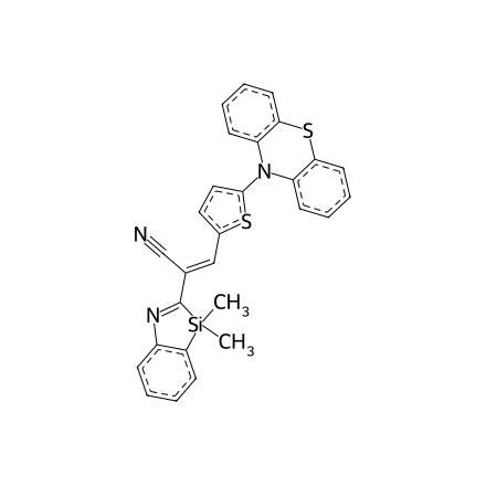 C[Si]1(C)C(/C(C#N)=C/c2ccc(N3c4ccccc4Sc4ccccc43)s2)=Nc2ccccc21